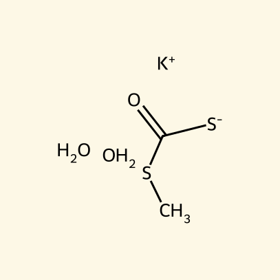 CSC(=O)[S-].O.O.[K+]